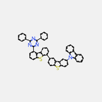 c1ccc(-c2nc(-c3ccccc3)nc(-c3cccc4sc5c(-c6ccc7sc8ccc(-n9c%10ccccc%10c%10ccccc%109)cc8c7c6)cccc5c34)n2)cc1